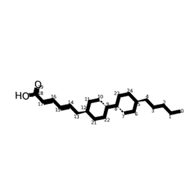 CCCCC[C@H]1CC[C@H]([C@H]2CC[C@H](C/C=C/C=C/C(=O)O)CC2)CC1